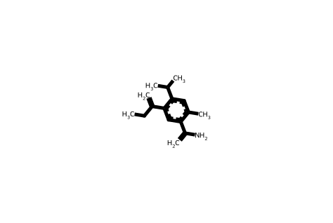 C=C(N)c1cc(C(=C)CC)c(C(C)C)cc1C